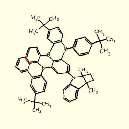 CC(C)(C)c1ccc(N2c3ccc(C(C)(C)C)cc3B3c4ccccc4N(c4ccc(C(C)(C)C)cc4-c4ccccc4)c4cc(N5c6ccccc6C6(C)CCC56C)cc2c43)cc1